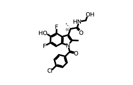 Cc1c([C@H](C)C(=O)NCO)c2c(F)c(O)c(F)cc2n1C(=O)c1ccc(Cl)cc1